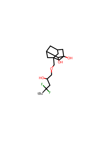 CC(C)(C)C(F)(F)CC(O)COCC12CC3CC(C1)C(O)C(O)(C3)C2